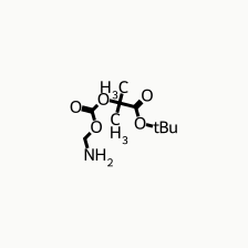 CC(C)(C)OC(=O)C(C)(C)OC(=O)OCN